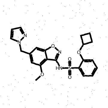 COc1cc(Cn2cccn2)cc2onc(NS(=O)(=O)c3ccccc3OC3CCC3)c12